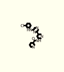 O=C(Nc1cncc(-c2cncc(Nc3cccc(Cl)c3)n2)c1)c1cccnc1